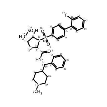 CN1CCC([C@H](NC(=O)[C@@H]2SCCN2S(=O)(=O)c2ccc(-c3ccccc3F)cc2)c2ccccc2)CC1.CS(=O)(=O)O